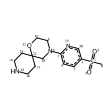 CS(=O)(=O)c1ccc(N2CCOC3(CCNCC3)C2)nc1